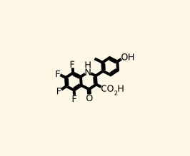 Cc1cc(O)ccc1-c1[nH]c2c(F)c(F)c(F)c(F)c2c(=O)c1C(=O)O